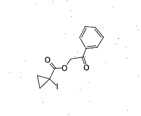 O=C(COC(=O)C1(I)CC1)c1ccccc1